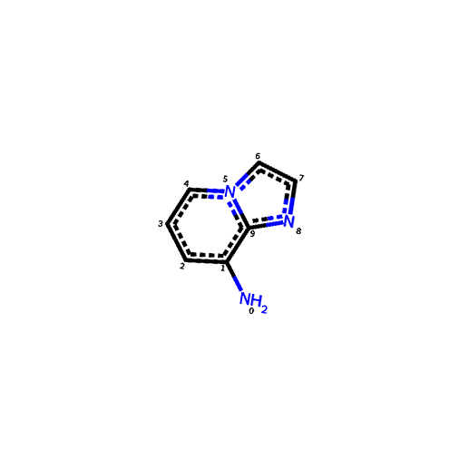 Nc1cccn2ccnc12